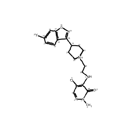 Cn1ncc(Cl)c(NCCN2CCC(c3noc4cc(F)ccc34)CC2)c1=O